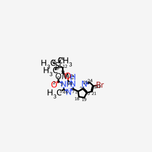 COC(=O)NC(C)/N=C(\NCOCC[Si](C)(C)C)C1CCc2cc(Br)cnc21